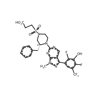 Cn1nc(-c2cc(C(F)(F)F)c(F)c(O)c2F)c2cnc(N3CCN(S(=O)(=O)CCC(=O)O)C[C@H]3Cc3ccccc3)nc21